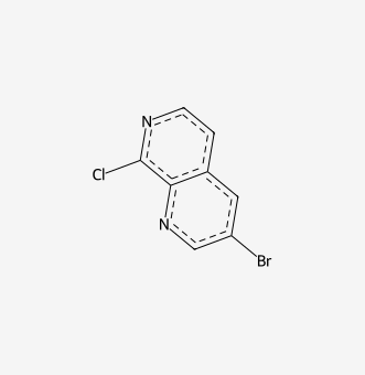 Clc1nccc2cc(Br)cnc12